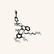 COCCOCCOc1c(Nc2nc3ccccc3nc2NS(=O)(=O)c2ccc(C#N)cc2)cc(OC)cc1OC